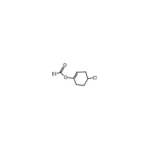 CCC(=O)OC1=CCC(Cl)CC1